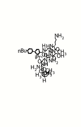 CCCCc1ccc(-c2ccc(C(=O)NCCC(=O)N[C@@H](CCCCN)C(=O)N[C@H](C(=O)N[C@@H](N)C(=O)N[C@@H](CC(C)C)C(=O)N[C@@H](N)B3OC4C[C@@H]5C[C@@H](C5(C)C)[C@]4(C)O3)[C@@H](C)O)cc2)cc1